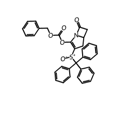 O=C(OCc1ccccc1)OC1=C([S+]([O-])C(c2ccccc2)(c2ccccc2)c2ccccc2)CC2CC(=O)N12